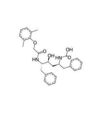 Cc1cccc(C)c1OCC(=O)N[C@@H](Cc1ccccc1)[C@@H](O)C[C@H](Cc1ccccc1)NC(=O)O